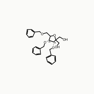 OCC1(CO)OC(COCc2ccccc2)[C@@H](OCc2ccccc2)[C@H]1OCc1ccccc1